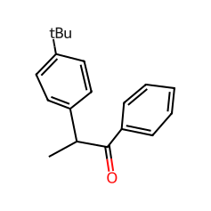 CC(C(=O)c1ccccc1)c1ccc(C(C)(C)C)cc1